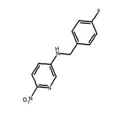 O=[N+]([O-])c1ccc(NCc2ccc(F)cc2)cn1